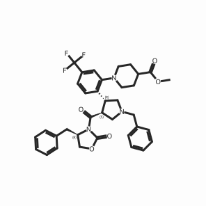 COC(=O)C1CCN(c2cc(C(F)(F)F)ccc2[C@@H]2CN(Cc3ccccc3)C[C@H]2C(=O)N2C(=O)OC[C@H]2Cc2ccccc2)CC1